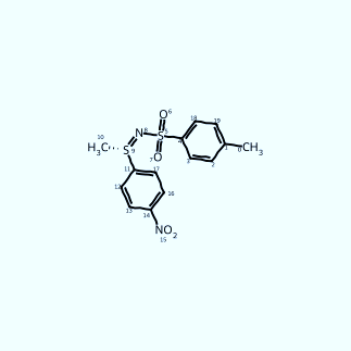 Cc1ccc(S(=O)(=O)N=[S@@](C)c2ccc([N+](=O)[O-])cc2)cc1